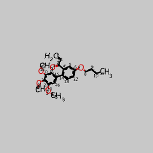 C=CC(=O)c1cc(OCCCC)ccc1-c1cc(OC)c(OC)c(OC)c1